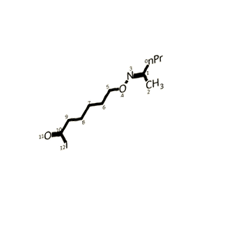 CCC/C(C)=N/OCCCCCC(=O)I